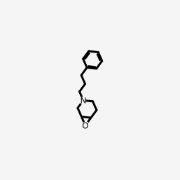 c1ccc(CCCN2CCC3OC3C2)cc1